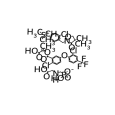 CC1(C)CON(Cc2ccccc2Cl)C1=O.C[C@H](OC(=O)c1cc(Oc2ccc(C(F)(F)F)cc2Cl)ccc1Cl)C(=O)O.C[S+](C)C.O=C(O)CNCP(=O)([O-])O